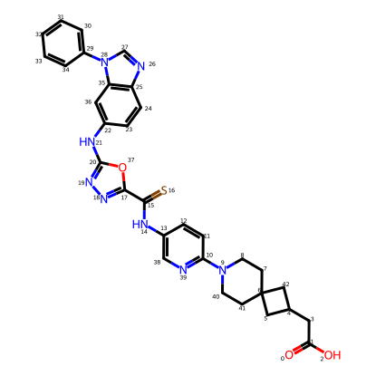 O=C(O)CC1CC2(CCN(c3ccc(NC(=S)c4nnc(Nc5ccc6ncn(-c7ccccc7)c6c5)o4)cn3)CC2)C1